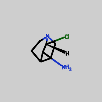 NC1C2CCN(CC2)[C@@H]1Cl